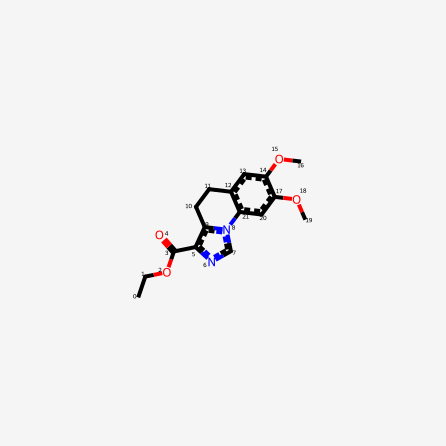 CCOC(=O)c1ncn2c1CCc1cc(OC)c(OC)cc1-2